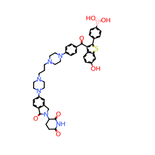 O=C1CCC(N2Cc3cc(N4CCN(CCCN5CCN(c6ccc(C(=O)c7c(-c8ccc(B(O)O)cc8)sc8cc(O)ccc78)cc6)CC5)CC4)ccc3C2=O)C(=O)N1